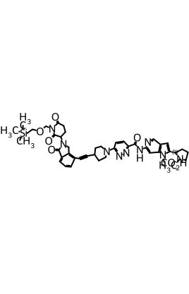 CN1CCC[C@@H]1c1cc2cnc(NC(=O)c3ccc(N4CCC(C#Cc5cccc6c5CN(C5CCC(=O)N(COCC[Si](C)(C)C)C5=O)C6=O)CC4)nn3)cc2n1C(=O)O